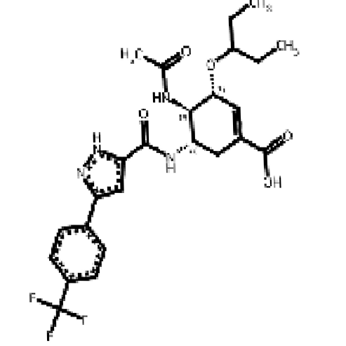 CCC(CC)O[C@@H]1C=C(C(=O)O)C[C@H](NC(=O)c2cc(-c3ccc(C(F)(F)F)cc3)n[nH]2)[C@H]1NC(C)=O